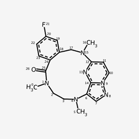 CN1CCN(C)c2cnn3ccc(nc23)N(C)Cc2cc(F)ccc2C1=O